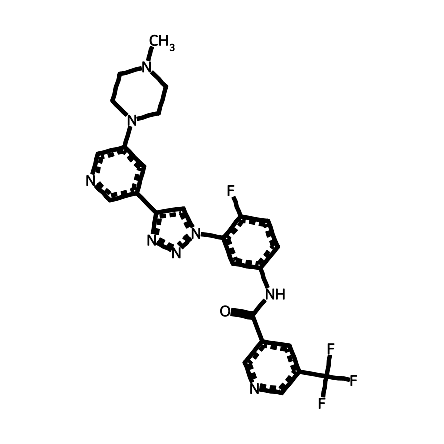 CN1CCN(c2cncc(-c3cn(-c4cc(NC(=O)c5cncc(C(F)(F)F)c5)ccc4F)nn3)c2)CC1